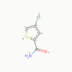 NC(=O)c1cc(Cl)cs1